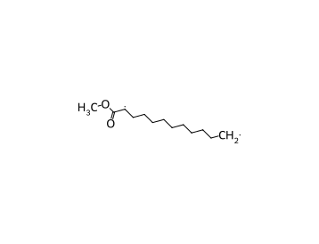 [CH2]CCCCCCCCC[CH]C(=O)OC